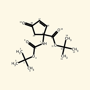 CC(C)(C)OC(=O)NC1(C(=O)OC(C)(C)C)C=CC(=O)C1